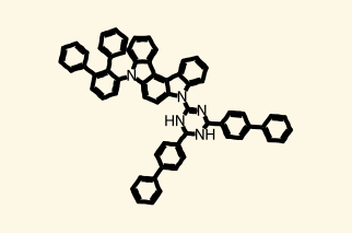 c1ccc(-c2ccc(C3N=C(n4c5ccccc5c5c6c7ccccc7n(-c7cccc(-c8ccccc8)c7-c7ccccc7)c6ccc54)NC(c4ccc(-c5ccccc5)cc4)N3)cc2)cc1